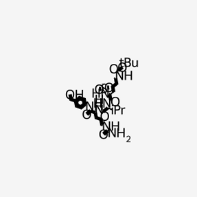 CC(C)[C@H](NC(=O)[C@H](CCCCNC(=O)OC(C)(C)C)NS(C)(=O)=O)C(=O)NC(CCCNC(N)=O)C(=O)Nc1ccc(CO)cc1